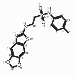 Cc1ccc(NS(=O)(=O)CCSc2nc3cc4c(cc3s2)OCO4)cc1